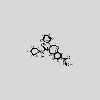 O=C(NO)c1ccc2c(c1)OC[C@H](C1C=CC=CC1)N(C(=O)NC1CCCCC1)C2